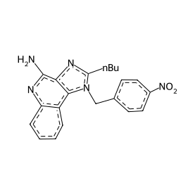 CCCCc1nc2c(N)nc3ccccc3c2n1Cc1ccc([N+](=O)[O-])cc1